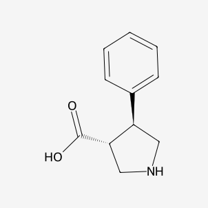 O=C(O)[C@H]1CNC[C@@H]1c1ccccc1